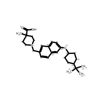 CC1(C(=O)O)CCN(Cc2ccc3cc(OC4CCC(C(C)(C)C)CC4)ccc3c2)CC1